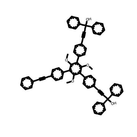 COc1c(-c2ccc(C#Cc3ccccc3)cc2)c(OC)c(-c2ccc(C#CC(O)(c3ccccc3)c3ccccc3)cc2)c(OC)c1-c1ccc(C#CC(O)(c2ccccc2)c2ccccc2)cc1